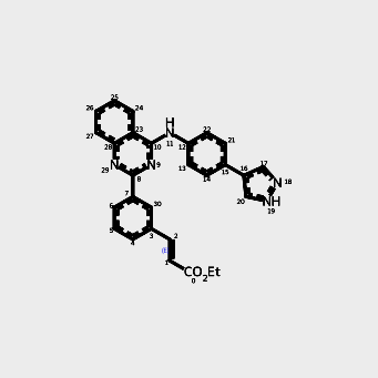 CCOC(=O)/C=C/c1cccc(-c2nc(Nc3ccc(-c4cn[nH]c4)cc3)c3ccccc3n2)c1